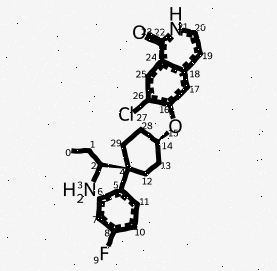 CCC(N)[C@]1(c2ccc(F)cc2)CC[C@H](Oc2cc3cc[nH]c(=O)c3cc2Cl)CC1